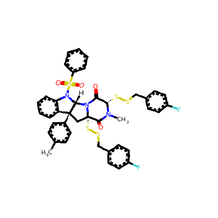 Cc1ccc([C@]23C[C@]4(SSCc5ccc(F)cc5)C(=O)N(C)[C@@H](SSCc5ccc(F)cc5)C(=O)N4[C@H]2N(S(=O)(=O)c2ccccc2)c2ccccc23)cc1